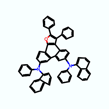 c1ccc(-c2oc3c4ccc(N(c5ccccc5)c5cccc6ccccc56)cc4c4cc(N(c5ccccc5)c5cccc6ccccc56)ccc4c3c2-c2ccccc2)cc1